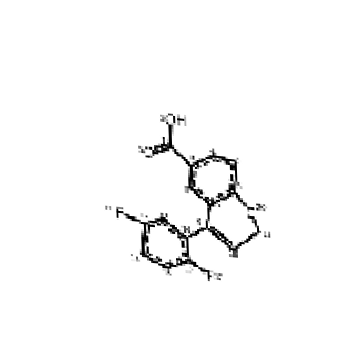 O=C(O)c1ccc2c(c1)C(c1cc(F)ccc1F)=CCC2